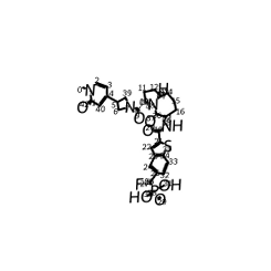 Cn1ccc(C2CN(C(=O)[C@@H]3CC[C@@H]4CCC[C@H](NC(=O)c5cc6cc([C@@H](F)P(=O)(O)O)ccc6s5)C(=O)N43)C2)cc1=O